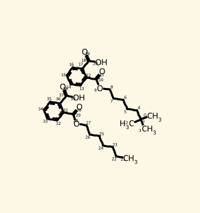 CC(C)(C)CCCCCOC(=O)c1ccccc1C(=O)O.CCCCCCCOC(=O)c1ccccc1C(=O)O